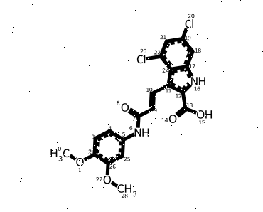 COc1ccc(NC(=O)C=Cc2c(C(=O)O)[nH]c3cc(Cl)cc(Cl)c23)cc1OC